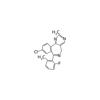 Cc1ncc2c(n1)-c1ccc(Cl)cc1C(c1c(C)cccc1F)=NC2